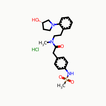 CN(CCc1ccccc1N1CC[C@H](O)C1)C(=O)Cc1ccc(NS(C)(=O)=O)cc1.Cl